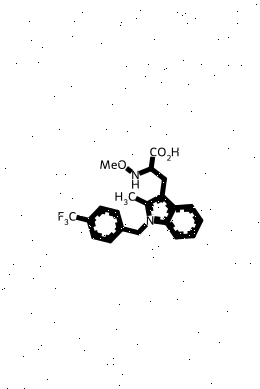 CONC(Cc1c(C)n(Cc2ccc(C(F)(F)F)cc2)c2ccccc12)C(=O)O